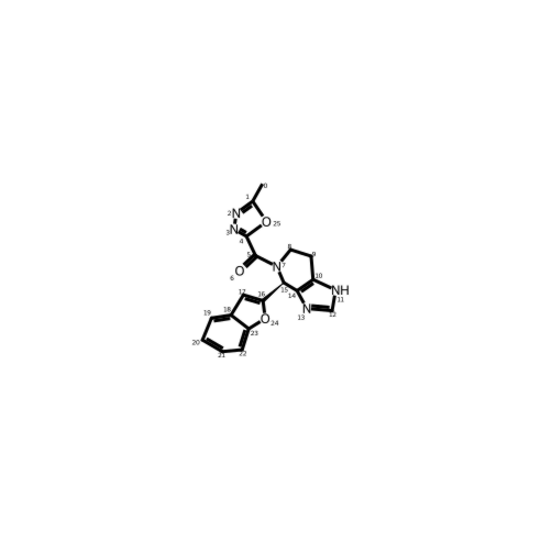 Cc1nnc(C(=O)N2CCc3[nH]cnc3[C@H]2c2cc3ccccc3o2)o1